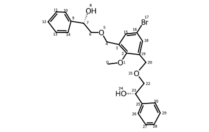 COc1c(COC[C@@H](O)c2ccccc2)cc(Br)cc1COC[C@@H](O)c1ccccc1